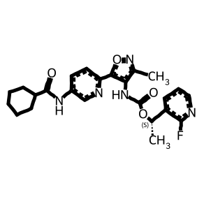 Cc1noc(-c2ccc(NC(=O)C3CCCCC3)cn2)c1NC(=O)O[C@@H](C)c1cccnc1F